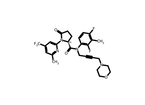 Cc1cc(C(F)(F)F)cc(N2C(=O)CC[C@H]2C(=O)N(CC#CCN2CCOCC2)c2ccc(F)c(C)c2F)n1